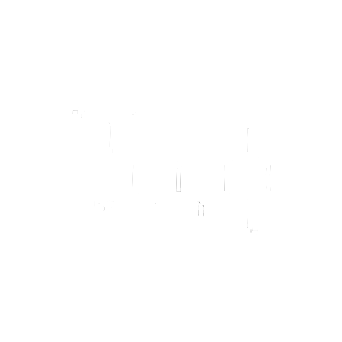 CC(=O)OCC(C)CC(=O)Nc1cc(C)ccc1O